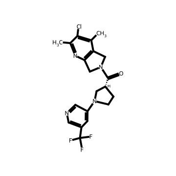 Cc1nc2c(c(C)c1Cl)CN(C(=O)[C@@H]1CCN(c3cncc(C(F)(F)F)c3)C1)C2